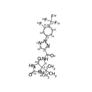 CC(C)(C)C1(CNC(=O)c2cnn(-c3ccc(C(F)(F)F)c(F)c3)n2)NC(=O)NC1=O